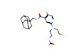 O=C(O)NCCN(CCO)c1cc(C(=O)NCC23CC4CC(CC(C4)C2)C3)c(Cl)cn1